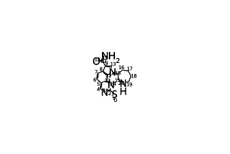 CSc1ncc2ccc3c(C(N)=O)cn(C4CCCCNC4)c3c2n1